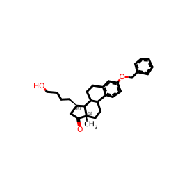 C[C@]12CCC3c4ccc(OCc5ccccc5)cc4CCC3C1[C@H](CCCCO)CC2=O